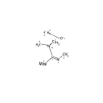 CC(=O)[O-].CN=C(NC)N(C)C.[K+]